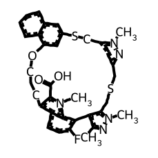 Cc1nn(C)c2c1-c1c(F)ccc3c(c(C(=O)O)n(C)c13)CCCOc1cc(cc3ccccc13)SCc1cc(nn1C)CSC2